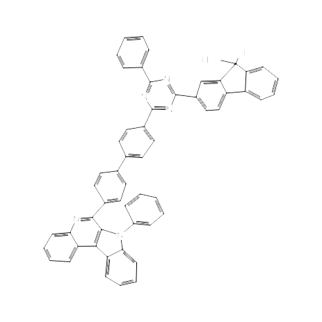 CC1(C)c2ccccc2-c2ccc(-c3nc(-c4ccccc4)nc(-c4ccc(-c5ccc(-c6nc7ccccc7c7c8ccccc8n(-c8ccccc8)c67)cc5)cc4)n3)cc21